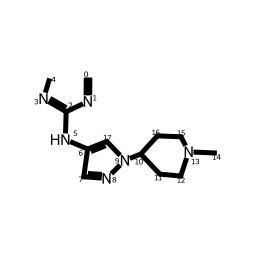 C=N/C(=N\C)Nc1cnn(C2CCN(C)CC2)c1